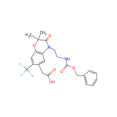 CC1(C)Oc2cc(C(F)(F)F)c(CC(=O)O)cc2N(CCNC(=O)OCc2ccccc2)C1=O